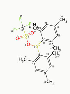 Cc1cc(C)c([S+](OS(=O)(=O)C(F)(F)F)c2c(C)cc(C)cc2C)c(C)c1